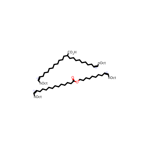 CCCCCCCC/C=C\CCCCCCCCCCC(CCCCCCCC/C=C\CCCCCCCC)C(=O)O.CCCCCCCC/C=C\CCCCCCCCCCCC(=O)OCCCCCCCC/C=C\CCCCCCCC